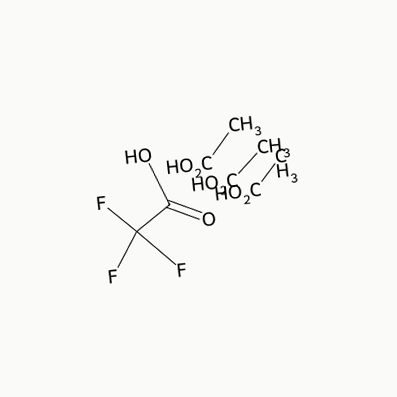 CC(=O)O.CC(=O)O.CC(=O)O.O=C(O)C(F)(F)F